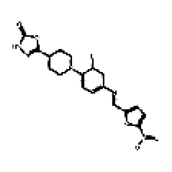 O=c1[nH]nc(C2CCN(C3=CC=C(/N=C/c4ccc([N+](=O)[O-])o4)CC3F)CC2)o1